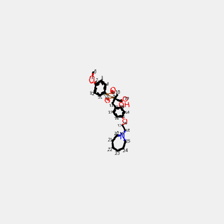 COc1ccc(S(=O)(=O)C(C)(Cc2ccc(OCCN3CCCCCC3)cc2)C(=O)O)cc1